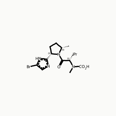 CC(C)[C@@H](C(=O)N1[C@@H](C)CC[C@H]1c1ncc(Br)[nH]1)N(C)C(=O)O